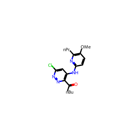 CCCCC(=O)c1nnc(Cl)cc1Nc1ccc(OC)c(CCC)n1